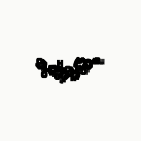 COCc1c(N2CC3C/C3=C\c3cc(C(C)(C)C)cc(F)c3C2=O)ccnc1-c1cc(Nc2ccc(C(=O)N3CCOCC3)cn2)c(=O)n(C)c1